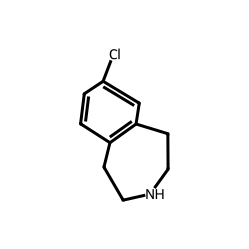 Clc1ccc2c(c1)CCNCC2